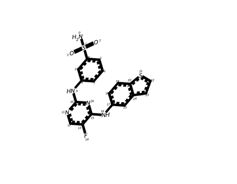 NS(=O)(=O)c1cccc(Nc2ncc(F)c(Nc3ccc4sccc4c3)n2)c1